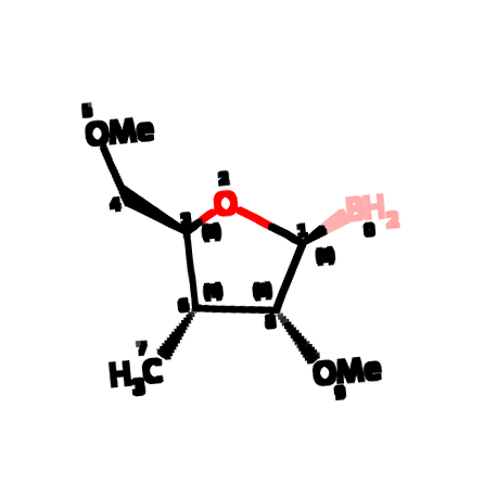 B[C@@H]1O[C@H](COC)[C@@H](C)[C@H]1OC